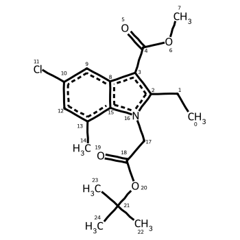 CCc1c(C(=O)OC)c2cc(Cl)cc(C)c2n1CC(=O)OC(C)(C)C